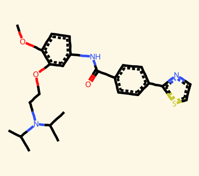 COc1ccc(NC(=O)c2ccc(-c3nccs3)cc2)cc1OCCN(C(C)C)C(C)C